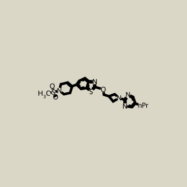 CCCc1cnc(N2CC(COc3nc4ccc(C5=CCN(S(C)(=O)=O)CC5)cc4s3)C2)nc1